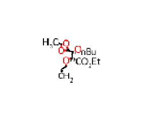 C=CCO[C@@H](C(=O)OCC)[C@@H](OCCCC)C1OC(C)O1